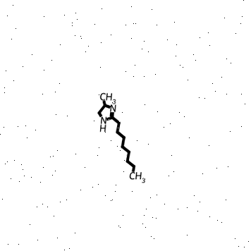 CCCCCCCCC1=NC(C)CN1